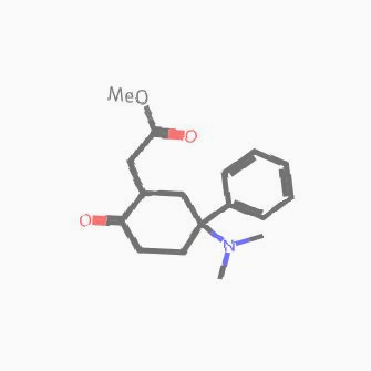 COC(=O)CC1CC(c2ccccc2)(N(C)C)CCC1=O